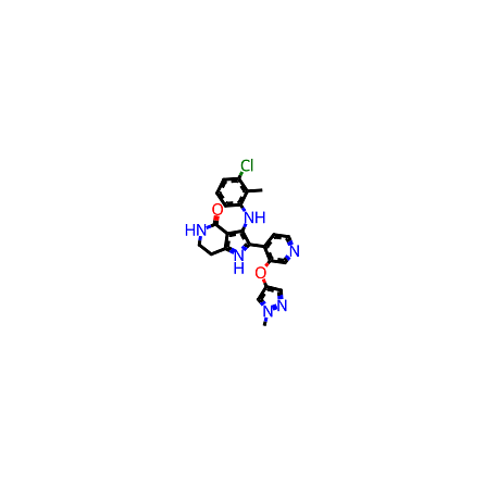 Cc1c(Cl)cccc1Nc1c(-c2ccncc2Oc2cnn(C)c2)[nH]c2c1C(=O)NCC2